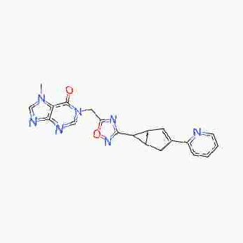 Cn1cnc2ncn(Cc3nc(C4C5C=C(c6ccccn6)CC54)no3)c(=O)c21